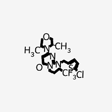 C[C@H]1COC[C@H](C)N1c1cc(=O)n2c(n1)N(Cc1ccc(Cl)s1)C(C(F)(F)F)CC2